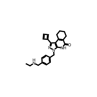 CCNCc1ccc(Cn2nc(C3=CC=C3)c3c4c(c(=O)[nH]c32)CCCC4)cc1